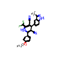 COc1ccc(C2=C(C#N)C(c3ccc4[nH]nc(C)c4c3)C(C#N)=C(C(F)F)N2)cc1